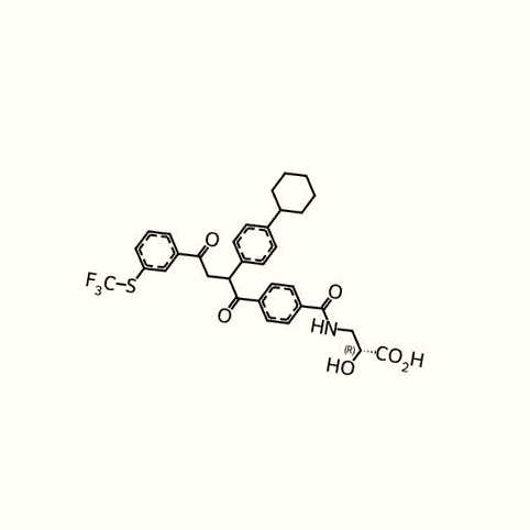 O=C(CC(C(=O)c1ccc(C(=O)NC[C@@H](O)C(=O)O)cc1)c1ccc(C2CCCCC2)cc1)c1cccc(SC(F)(F)F)c1